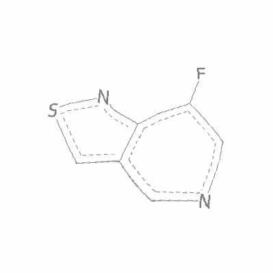 Fc1cncc2csnc12